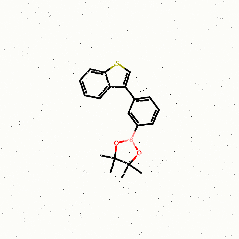 CC1(C)OB(c2cccc(-c3csc4ccccc34)c2)OC1(C)C